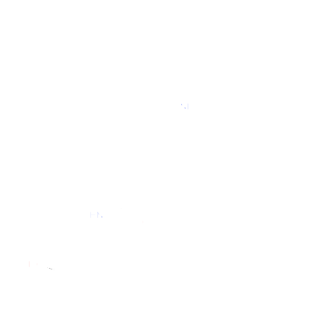 O=C(O)CCNC(=O)c1ccc(CNCc2ccc(F)cc2F)cc1